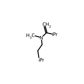 C=C(C(C)C)N(C)CCC(C)C